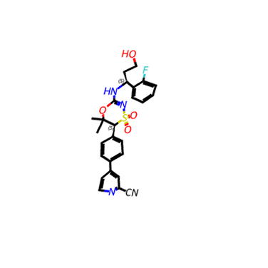 CC1(C)OC(N[C@@H](CCO)c2ccccc2F)=NS(=O)(=O)[C@H]1c1ccc(-c2ccnc(C#N)c2)cc1